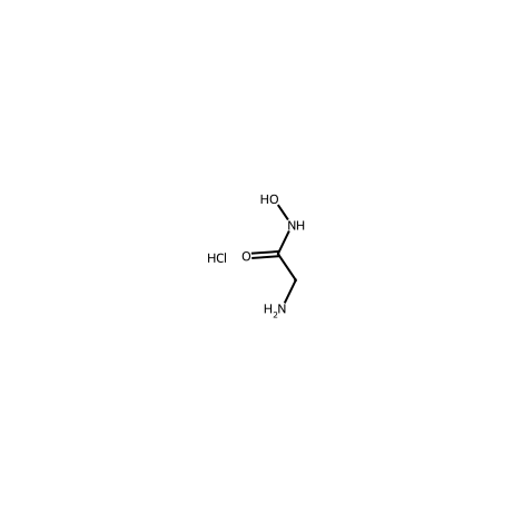 Cl.NCC(=O)NO